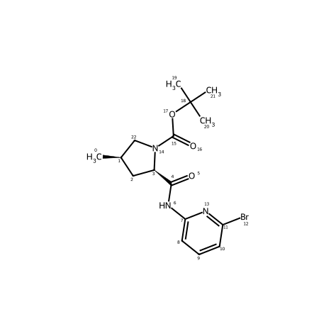 C[C@@H]1C[C@H](C(=O)Nc2cccc(Br)n2)N(C(=O)OC(C)(C)C)C1